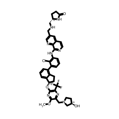 COc1nc(O[C@@H]2CCc3c(-c4cccc(Nc5nccc6cc(CNC[C@@H]7CCC(=O)N7)cnc56)c4Cl)cccc32)c(C(F)(F)F)nc1CN1CC[C@@H](O)C1